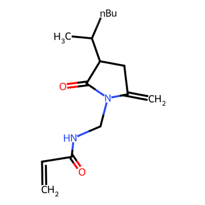 C=CC(=O)NCN1C(=C)CC(C(C)CCCC)C1=O